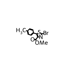 COC(=O)c1nc(Br)sc1-c1ccc(C)cc1